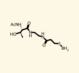 BSCCC(=O)NCCNC(=O)[C@@H](NC(C)=O)[C@@H](C)O